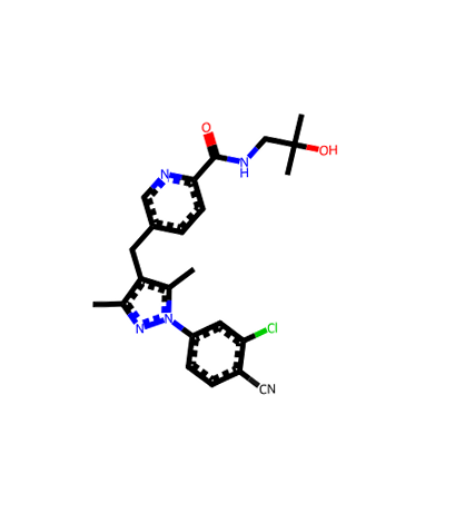 Cc1nn(-c2ccc(C#N)c(Cl)c2)c(C)c1Cc1ccc(C(=O)NCC(C)(C)O)nc1